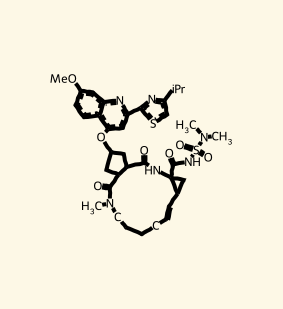 COc1ccc2c(OC3CC4C(=O)NC5(C(=O)NS(=O)(=O)N(C)C)CC5/C=C/CCCCN(C)C(=O)C4C3)cc(-c3nc(C(C)C)cs3)nc2c1